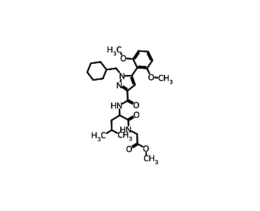 COC(=O)CNC(=O)C(CC(C)C)NC(=O)c1cc(-c2c(OC)cccc2OC)n(CC2CCCCC2)n1